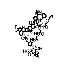 CC[C@@]1(O)C(=O)OCc2c1cc1n(c2=O)Cc2c-1nc1cc(F)c(C)c3c1c2[C@@H](NC(=O)OCc1ccc(O[C@@H]2O[C@H](C(=O)O)[C@@H](O)[C@H](O)[C@H]2O)c(CNC(=O)CCNC(=O)[C@H](CNC(=O)CCOCCOC)NC(=O)CCC(=O)N2Cc4ccccc4-c4c(nnn4C)-c4ccccc42)c1)CC3